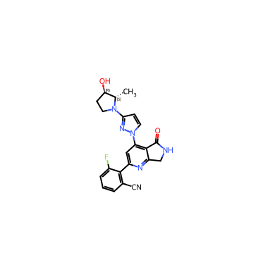 C[C@H]1[C@H](O)CCN1c1ccn(-c2cc(-c3c(F)cccc3C#N)nc3c2C(=O)NC3)n1